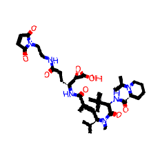 C/C(=C\[C@H](C(C)C)N(C)C(=O)[C@@H](NC(=O)[C@H]1CCCCN1C(C)C)C(C)(C)C)C(=O)N[C@H](CCC(=O)NCCN1C(=O)C=CC1=O)C1OC1O